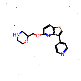 c1cc(-c2csc3ccc(OCC4CNCCO4)nc23)ccn1